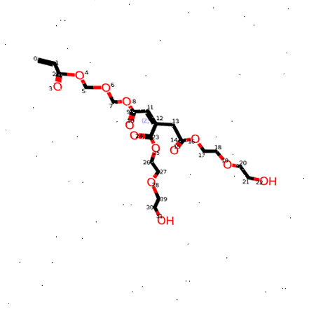 C=CC(=O)OCOCOC(=O)/C=C(/CC(=O)OCCOCCO)C(=O)OCCOCCO